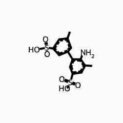 Cc1cc(-c2cc(S(=O)(=O)O)cc(C)c2N)cc(S(=O)(=O)O)c1